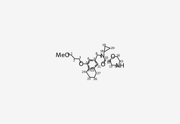 COCCCOc1cc(CN(C(=O)[C@H]2CNCCO2)C2CC2)cc2c1CCCC2